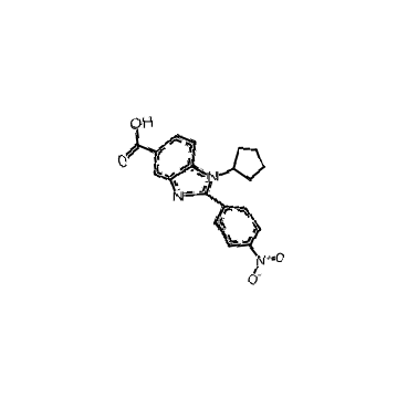 O=C(O)c1ccc2c(c1)nc(-c1ccc([N+](=O)[O-])cc1)n2C1CCCC1